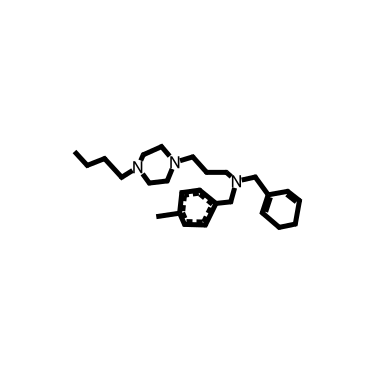 CCCCN1CCN(CCCN(CC2=CCCC=C2)Cc2ccc(C)cc2)CC1